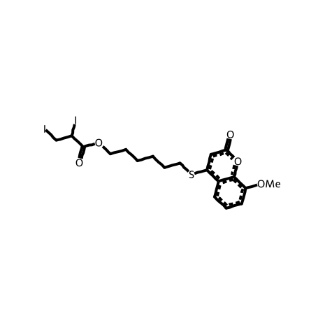 COc1cccc2c(SCCCCCCOC(=O)C(I)CI)cc(=O)oc12